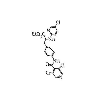 CCOC(=O)C(Cc1ccc(NC(=O)c2c(Cl)cncc2Cl)cc1)Nc1ccc(Cl)cn1